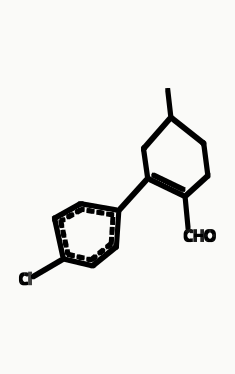 CC1CCC(C=O)=C(c2ccc(Cl)cc2)C1